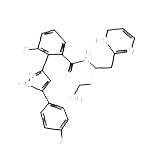 O=C(N[C@@H](CCO)CC1=NC=CCN1)c1cccc(F)c1-c1cc(-c2ccc(F)cc2)[nH]n1